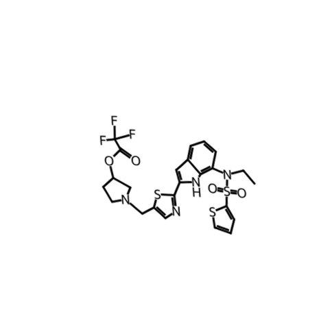 CCN(c1cccc2cc(-c3ncc(CN4CCC(OC(=O)C(F)(F)F)C4)s3)[nH]c12)S(=O)(=O)c1cccs1